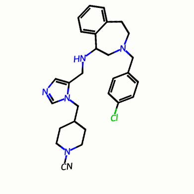 N#CN1CCC(Cn2cncc2CNC2CN(Cc3ccc(Cl)cc3)CCc3ccccc32)CC1